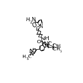 Cn1cc(-c2ccc3c(c2)c(C(=O)NC2CC4(C2)CC(Oc2ncccc2C(N)=O)C4)nn3CC(C)(C)O)cn1